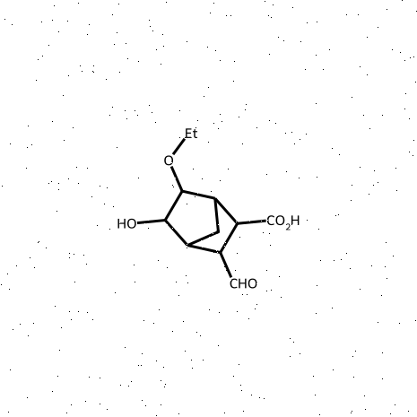 CCOC1C(O)C2CC1C(C(=O)O)C2C=O